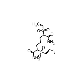 C=CS(=O)(=O)C(CCCC(C(N)=O)S(=O)(=O)C=C)C(N)=O